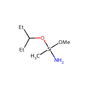 CCC(CC)O[Si](C)(N)OC